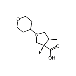 C[C@@H]1CN(C2CCOCC2)C[C@@]1(F)C(=O)O